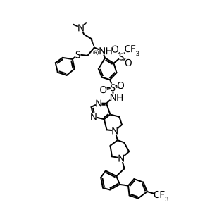 CN(C)CC[C@H](CSc1ccccc1)Nc1ccc(S(=O)(=O)Nc2ncnc3c2CCN(C2CCN(Cc4ccccc4-c4ccc(C(F)(F)F)cc4)CC2)C3)cc1S(=O)(=O)C(F)(F)F